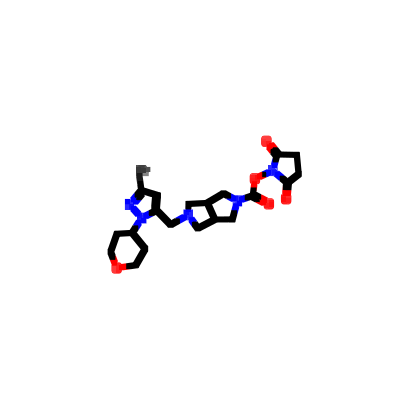 CC(C)c1cc(CN2CC3CN(C(=O)ON4C(=O)CCC4=O)CC3C2)n(C2CCOCC2)n1